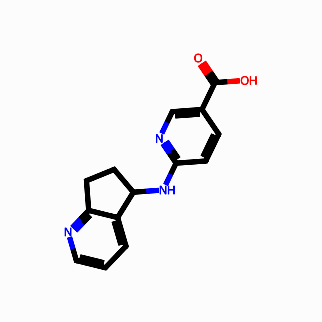 O=C(O)c1ccc(NC2CCc3ncccc32)nc1